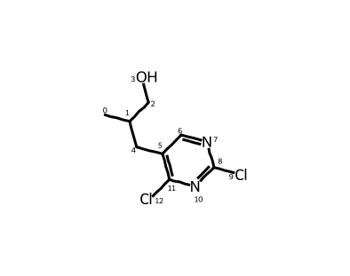 CC(CO)Cc1cnc(Cl)nc1Cl